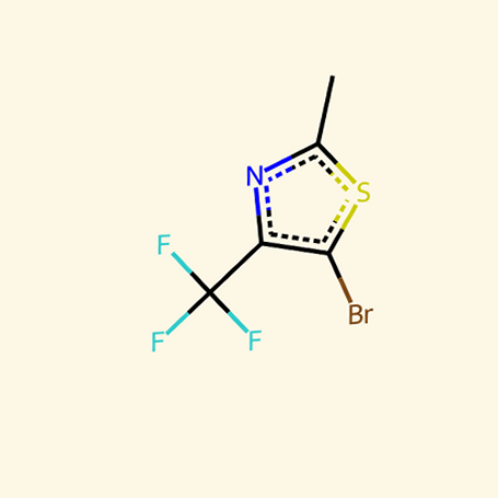 Cc1nc(C(F)(F)F)c(Br)s1